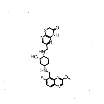 COc1cnc2ccc(F)c(CN[C@@H]3CC[C@@H](NCc4cnc5c(n4)NC(=O)CS5)[C@@H](O)C3)c2n1